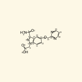 NC(=O)c1nn(CC(=O)O)c2ccc(OCc3ncccn3)cc12